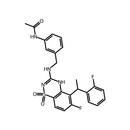 CC(=O)Nc1cccc(CNC2=NS(=O)(=O)c3ccc(F)c(C(C)c4ccccc4F)c3N2)c1